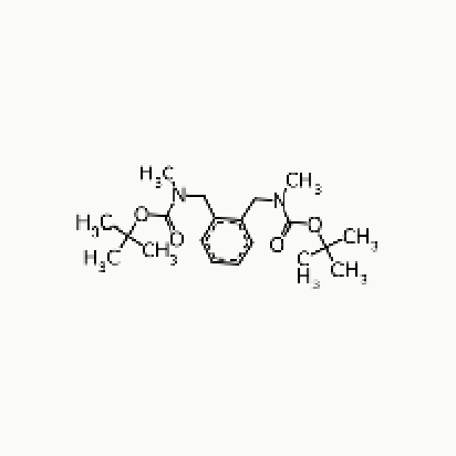 CN(Cc1ccccc1CN(C)C(=O)OC(C)(C)C)C(=O)OC(C)(C)C